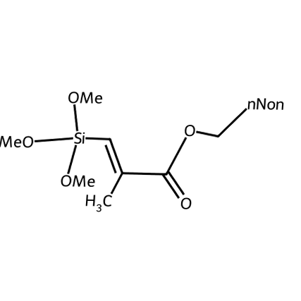 CCCCCCCCCCOC(=O)C(C)=C[Si](OC)(OC)OC